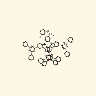 Fc1cccc(F)c1-c1cc(-n2c3ccc(-c4nc(-c5ccccc5)nc(-c5ccccc5)n4)cc3c3cc(-c4nc(-c5ccccc5)nc(-c5ccccc5)n4)ccc32)c(-n2c3ccc(-c4nc(-c5ccccc5)nc(-c5ccccc5)n4)cc3c3cc(-c4nc(-c5ccccc5)nc(-c5ccccc5)n4)ccc32)cc1C(F)(F)F